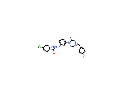 CC1CN(Cc2ccc(F)cc2)CCN1c1cccc(CNC(=O)c2ccc(Cl)cc2)c1